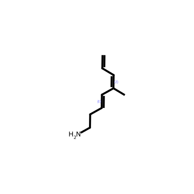 C=C/C=C(C)\C=C\CCN